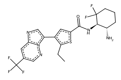 CCc1sc(C(=O)N[C@@H]2[C@@H](N)CCCC2(F)F)cc1-c1cnc2cc(C(F)(F)F)cnn12